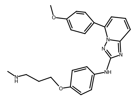 CNCCCOc1ccc(Nc2nc3cccc(-c4ccc(OC)cc4)n3n2)cc1